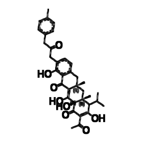 CC(=O)C1=C(O)C(C(C)C)[C@@]2(C)C[C@@]3(C)Cc4ccc(CC(=O)Cc5ccc(C)cc5)c(O)c4C(=O)C3=C(O)[C@@]2(O)C1=O